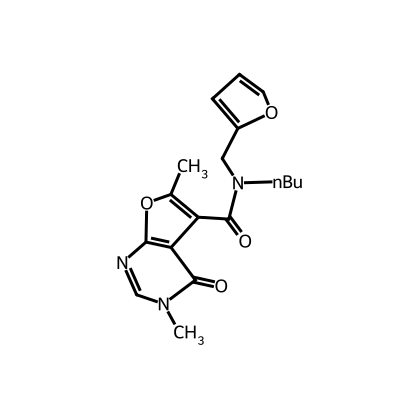 CCCCN(Cc1ccco1)C(=O)c1c(C)oc2ncn(C)c(=O)c12